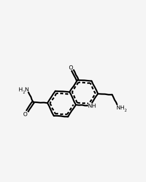 NCc1cc(=O)c2cc(C(N)=O)ccc2[nH]1